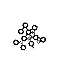 Cc1ccc(N2B3c4cc5oc6ccccc6c5cc4-n4c5ccccc5c5c(-c6ccccc6-c6ccccc6)cc(c3c54)-c3ccc(N(c4ccccc4)c4ccccc4)cc32)cc1